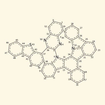 c1ccc2nc(-n3c4ccccc4c4c5ccccc5c5c6cccc7c8ccccc8n(c76)c5c43)c(-c3cccc4c3sc3ccccc34)nc2c1